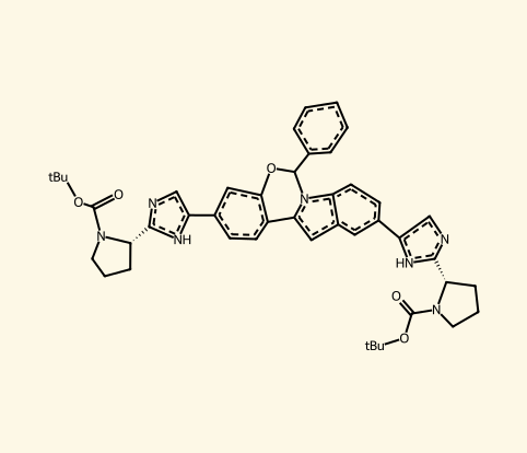 CC(C)(C)OC(=O)N1CCC[C@H]1c1ncc(-c2ccc3c(c2)OC(c2ccccc2)n2c-3cc3cc(-c4cnc([C@@H]5CCCN5C(=O)OC(C)(C)C)[nH]4)ccc32)[nH]1